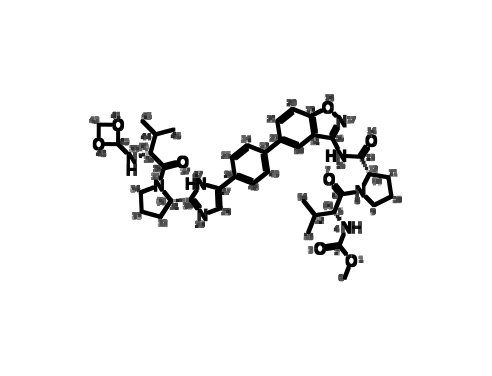 COC(=O)N[C@@H](C(=O)N1CCC[C@H]1C(=O)Nc1noc2ccc(-c3ccc(-c4cnc([C@@H]5CCCN5C(=O)[C@H](NC5OCO5)C(C)C)[nH]4)cc3)cc12)C(C)C